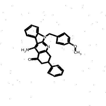 COc1ccc(Cn2c3ccccc3c3c(N)c4c(nc32)CC(c2ccccc2)CC4=O)cc1